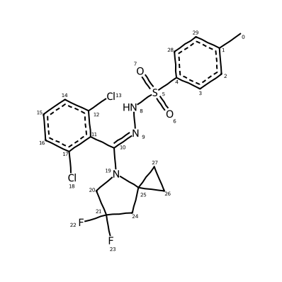 Cc1ccc(S(=O)(=O)N/N=C(\c2c(Cl)cccc2Cl)N2CC(F)(F)CC23CC3)cc1